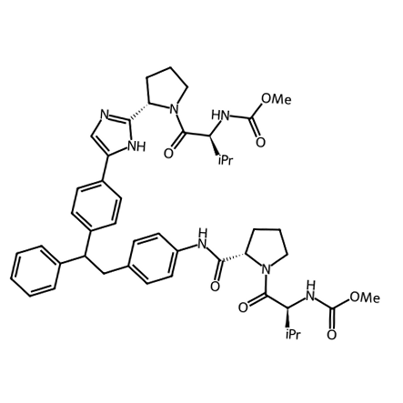 COC(=O)N[C@H](C(=O)N1CCC[C@H]1C(=O)Nc1ccc(CC(c2ccccc2)c2ccc(-c3cnc([C@@H]4CCCN4C(=O)[C@@H](NC(=O)OC)C(C)C)[nH]3)cc2)cc1)C(C)C